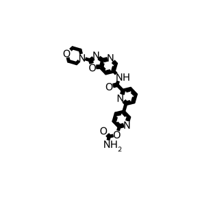 NC(=O)Oc1ccc(-c2cccc(C(=O)Nc3cnc4nc(N5CCOCC5)oc4c3)n2)cn1